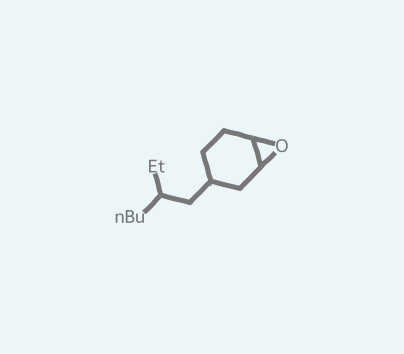 CCCCC(CC)C[C]1CCC2OC2C1